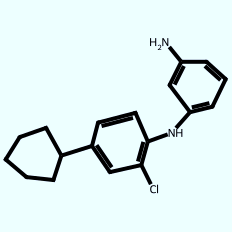 Nc1cccc(Nc2ccc(C3CCCCC3)cc2Cl)c1